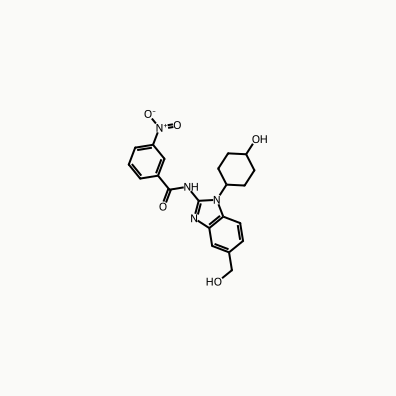 O=C(Nc1nc2cc(CO)ccc2n1C1CCC(O)CC1)c1cccc([N+](=O)[O-])c1